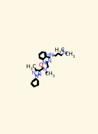 Cc1nn(-c2ccccc2)nc1C(=O)N(C)Cc1nc(NCCCN(C)C)c2ccccc2n1